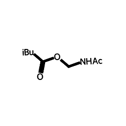 CCC(C)C(=O)OCNC(C)=O